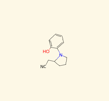 N#CCC1CCCN1c1ccccc1O